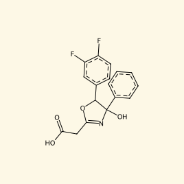 O=C(O)CC1=NC(O)(c2ccccc2)C(c2ccc(F)c(F)c2)O1